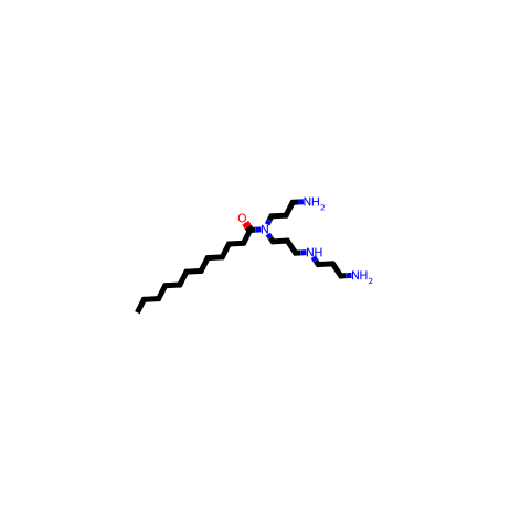 CCCCCCCCCCCC(=O)N(CCCN)CCCNCCCN